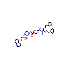 O=C(NC(CCCc1ccccc1)CCCc1ccccc1)C1CCN(C(=O)CN2CCN(C[C@@H](O)COc3cccc4ncccc34)CC2)CC1